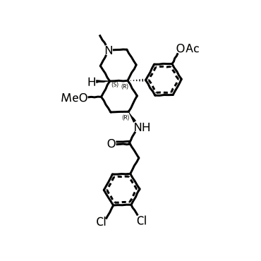 COC1C[C@H](NC(=O)Cc2ccc(Cl)c(Cl)c2)C[C@]2(c3cccc(OC(C)=O)c3)CCN(C)C[C@@H]12